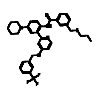 CCCSCc1cccc(C(=O)Nc2ccc(N3CCCCC3)cc2-c2cc(OCc3cccc(C(F)(F)F)c3)ccn2)c1